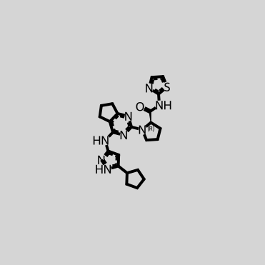 O=C(Nc1nccs1)[C@H]1CCCN1c1nc2c(c(Nc3cc(C4CCCC4)[nH]n3)n1)CCC2